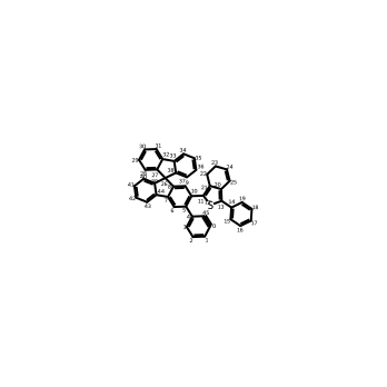 c1cccc(-c2cc3c(cc2-c2sc(-c4ccccc4)c4c2CCC=C4)C2(c4ccccc4-c4ccccc42)c2ccccc2-3)c#1